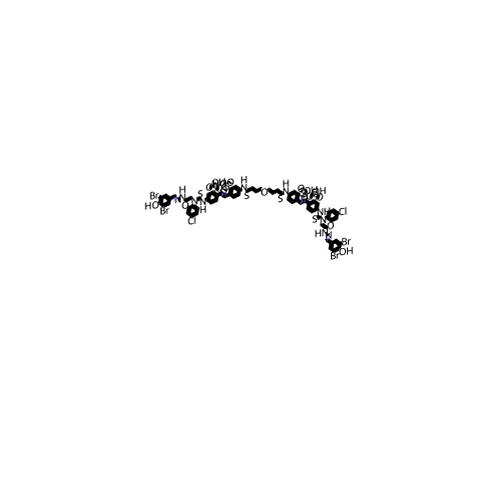 O=C(CN(C(=S)Nc1ccc(/C=C/c2ccc(NC(=S)CCCOCCCC(=S)Nc3ccc(/C=C/c4ccc(NC(=S)N(CC(=O)N/N=C/c5cc(Br)c(O)c(Br)c5)c5ccc(Cl)cc5)cc4S(=O)(=O)O)c(S(=O)(=O)O)c3)cc2S(=O)(=O)O)c(S(=O)(=O)O)c1)c1ccc(Cl)cc1)N/N=C/c1cc(Br)c(O)c(Br)c1